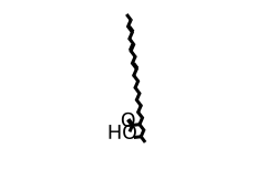 CCC=CCC=CCC=CCCCCCCCCC(CC(C)C)C(=O)O